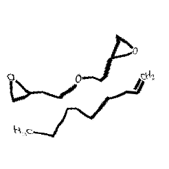 C(OCC1CO1)C1CO1.C=CCCCCC